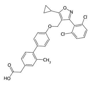 Cc1cc(CC(=O)O)ccc1-c1ccc(OCc2c(-c3c(Cl)cccc3Cl)noc2C2CC2)cc1